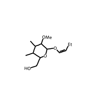 CC/C=C\OC1OC(CO)C(C)C(C)C1OC